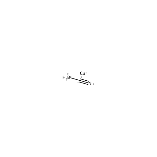 [BH3-]C#N.[Cu+]